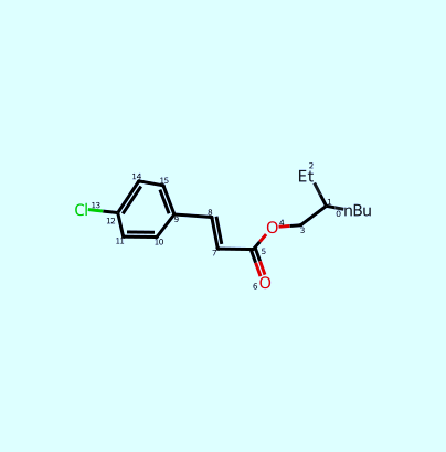 CCCCC(CC)COC(=O)C=Cc1ccc(Cl)cc1